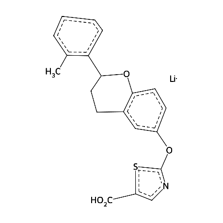 Cc1ccccc1C1CCc2cc(Oc3ncc(C(=O)O)s3)ccc2O1.[Li]